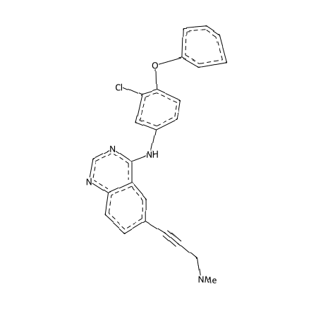 CNCC#Cc1ccc2ncnc(Nc3ccc(Oc4ccccc4)c(Cl)c3)c2c1